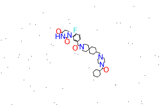 O=C1CCN(c2cc(C(=O)N3CCC4(CCC(CN5CCN(C(=O)C6CCCCC6)CC5)CC4)CC3)ccc2F)C(=O)N1